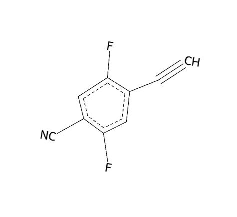 C#Cc1cc(F)c(C#N)cc1F